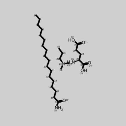 CCCCCCCCCCCCCCCCCC(N)=O.CCCN(C)C.N[C@@H](CCC(=O)O)C(=O)O